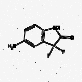 Nc1ccc2c(c1)C(F)(F)C(=O)N2